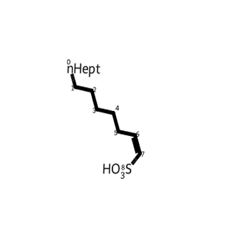 CCCCCCCCCCCC/C=C\S(=O)(=O)O